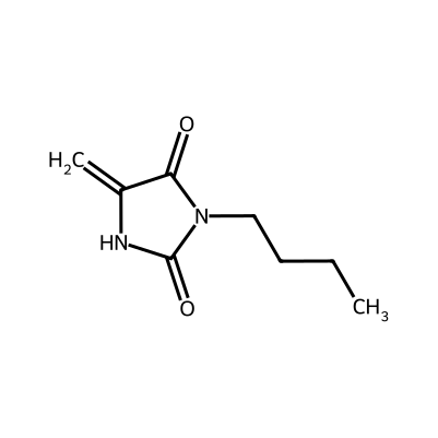 C=C1NC(=O)N(CCCC)C1=O